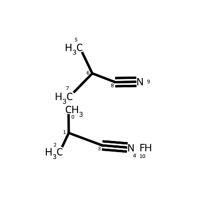 CC(C)C#N.CC(C)C#N.F